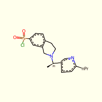 CCCc1ccc([C@@H](C)N2CCc3ccc(S(=O)(=O)Cl)cc3C2)cn1